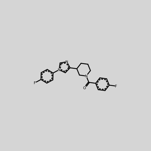 O=C(c1ccc(F)cc1)N1CCCC(c2cn(-c3ccc(F)cc3)cn2)C1